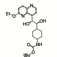 CCOc1ccc2nccc([C@H](O)[C@@H](O)C3CCC(NC(=O)OC(C)(C)C)CC3)c2n1